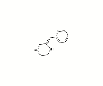 C(=C1CNCCN1)c1ccccn1